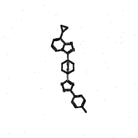 Cc1ccc(-c2noc(C34CCC(c5nnc6c(C7CC7)cccn56)(CC3)CC4)n2)cc1